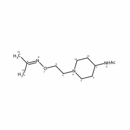 CC(=O)NC1CCN(CCON=C(C)C)CC1